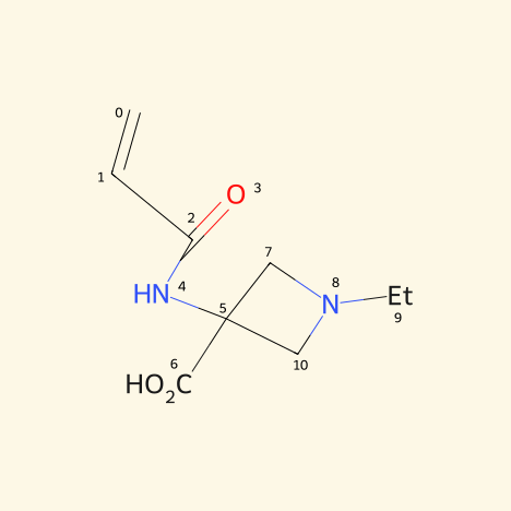 C=CC(=O)NC1(C(=O)O)CN(CC)C1